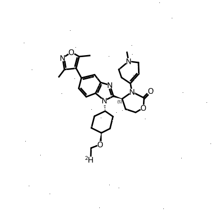 [2H]CO[C@H]1CC[C@H](n2c([C@@H]3CCOC(=O)N3C3=CCN(C)CC3)nc3cc(-c4c(C)noc4C)ccc32)CC1